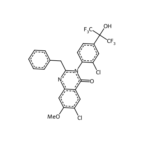 COc1cc2nc(Cc3ccccc3)n(-c3ccc(C(O)(C(F)(F)F)C(F)(F)F)cc3Cl)c(=O)c2cc1Cl